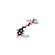 CCOC(=O)[C@@H]1C(=O)C[C@H]2C=C(CCOCCO[Si](C)(C)C(C)(C)C)C[C@@H]12